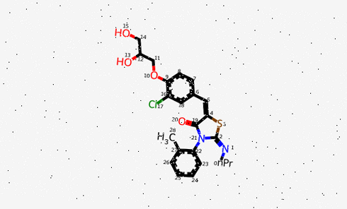 CCCN=C1SC(=Cc2ccc(OCC(O)CO)c(Cl)c2)C(=O)N1c1ccccc1C